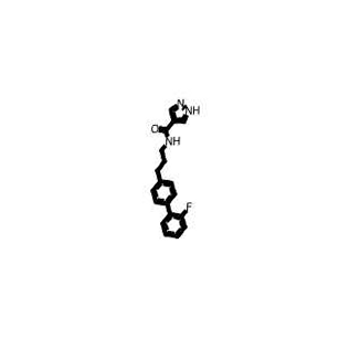 O=C(NCCCc1ccc(-c2ccccc2F)cc1)c1cn[nH]c1